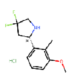 COc1cccc([C@@H]2CC(F)(F)CN2)c1C.Cl